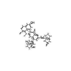 CCc1c(F)ccc2cc(O)cc(-c3ncc4c(N5C[C@H]6CC[C@@H](C5)N6)cc(C#C[C@@]56CCCN5C[C@H](F)C6)nc4c3F)c12